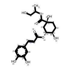 CC(CO)OC(=O)[C@]1(O)CC[C@@H](O)[C@H](OC(=O)/C=C/c2ccc(O)c(O)c2)C1